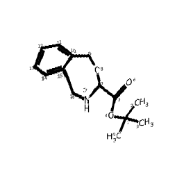 CC(C)(C)OC(=O)C1CCc2ccccc2CN1